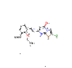 COc1cccc(/C=C/c2cc(=O)n3cc(Cl)sc3n2)c1OCC(C)(C)C